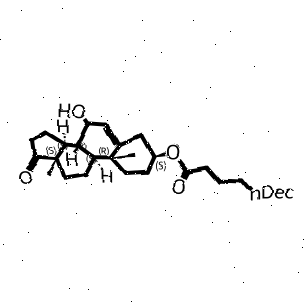 CCCCCCCCCCCCCC(=O)O[C@H]1CC[C@@]2(C)C(=CC(O)[C@@H]3[C@@H]2CC[C@]2(C)C(=O)CC[C@@H]32)C1